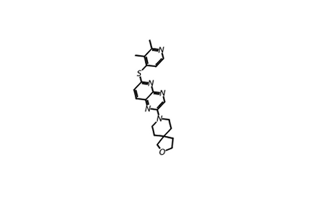 Cc1nccc(Sc2ccc3nc(N4CCC5(CCOC5)CC4)cnc3n2)c1C